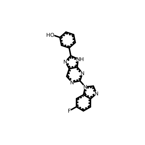 Oc1cccc(-c2nc3cnc(-n4cnc5ccc(F)cc54)nc3[nH]2)c1